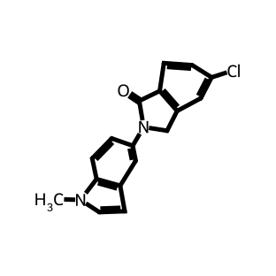 Cn1ccc2cc(N3Cc4cc(Cl)ccc4C3=O)ccc21